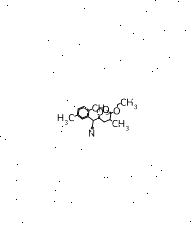 CCOC(=O)C(C)CC(=O)C(C#N)c1cc(C)ccc1C